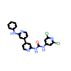 O=C(Nc1cc(Cl)nc(Cl)c1)Nc1cc(-c2ccnc(Nc3ccccc3)c2)ccn1